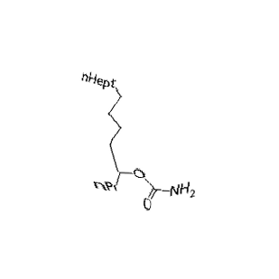 CCCCCCCCCCCC(CCC)OC(N)=O